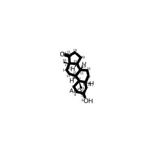 CC(=O)OC[C@]12CCC(O)C[C@@H]1CC[C@@H]1[C@@H]2CC[C@]2(C)C(=O)CC[C@@H]12